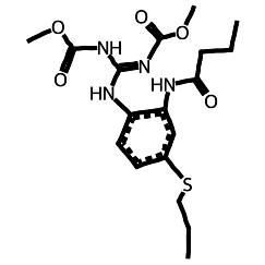 CCCSc1ccc(NC(=NC(=O)OC)NC(=O)OC)c(NC(=O)CCC)c1